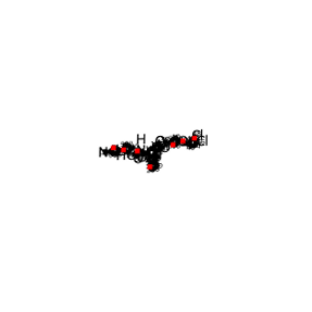 N#Cc1ccc(-c2ccc(C[C@H](NC(=O)C3Cc4cc5c(cc4CN3Cc3ccccc3C#N)O[C@@H](c3ccc(OCc4ccc(Cl)c(Cl)c4)cc3)CO5)C(=O)O)cc2)cc1